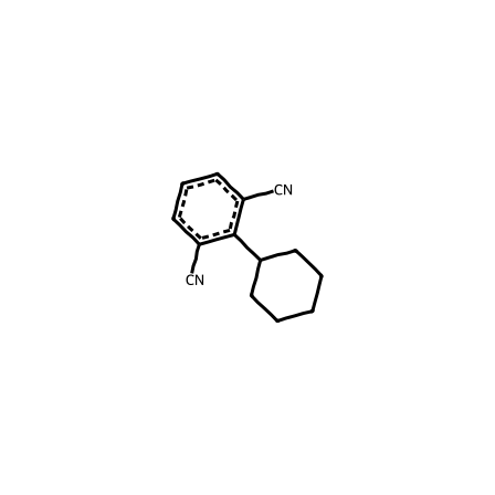 N#Cc1cccc(C#N)c1C1CCCCC1